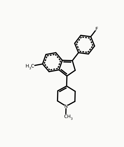 Cc1ccc2c(c1)=C(C1=CCN(C)CC1)CC=2c1ccc(F)cc1